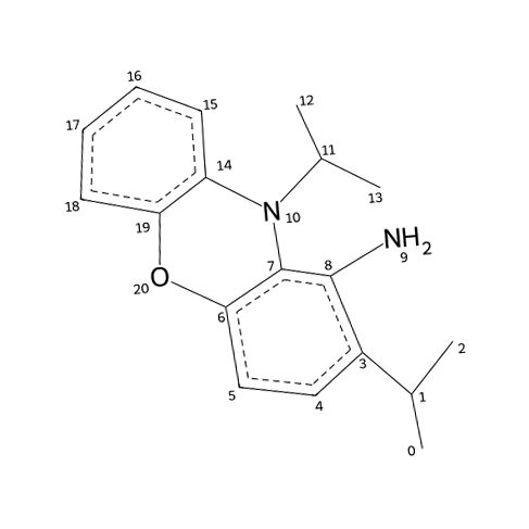 CC(C)c1ccc2c(c1N)N(C(C)C)c1ccccc1O2